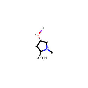 CN1C[C@@H](OI)C[C@@H]1C(=O)O